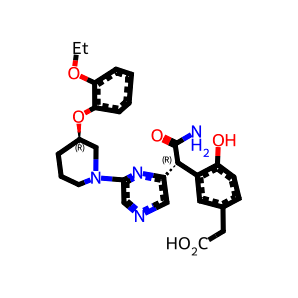 CCOc1ccccc1O[C@@H]1CCCN(c2cncc([C@H](C(N)=O)c3cc(CC(=O)O)ccc3O)n2)C1